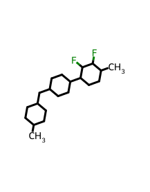 CC1CCC(CC2CCC(C3CCC(C)C(F)C3F)CC2)CC1